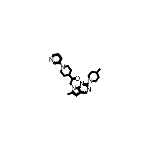 Cc1cc2cnc(N3CCC(C)CC3)nc2n1CC(=O)C1CCN(c2cccnc2)CC1